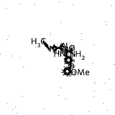 CC#CCN1CC(c2cnn3c(C(N)=O)c(-c4ccc(Oc5ccccc5OC)cc4)[nH]c23)C1